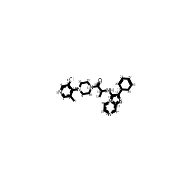 Cc1cncc(Cl)c1N1CCN(C(=O)C(C)Nc2c(C3C=CC=CC3)nc3cnccn23)CC1